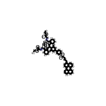 CCOC(=O)/C=C/C1=[N+]2C(=C(c3c(C)cc(-c4ccc(OC(=O)CCCc5ccc6c7cccc8cccc(c9cccc5c96)c87)cc4)cc3C)c3c4c(c(/C=C/C(=O)OCC)n3[B-]2(F)F)CCCC4)C2=C1CCCC2